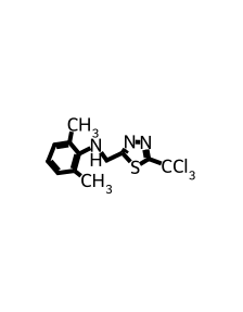 Cc1cccc(C)c1NCc1nnc(C(Cl)(Cl)Cl)s1